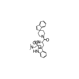 CN(C)CS(=O)(=O)NC(Cc1c[nH]c2ccccc12)C(=O)N1CCC2(C=Cc3ccccc32)CC1